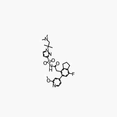 COc1cc(-c2cc(F)c3c(c2CC(=O)NS(=O)(=O)c2ccn(C(C)(C)CN(C)C)n2)CCC3)ccn1